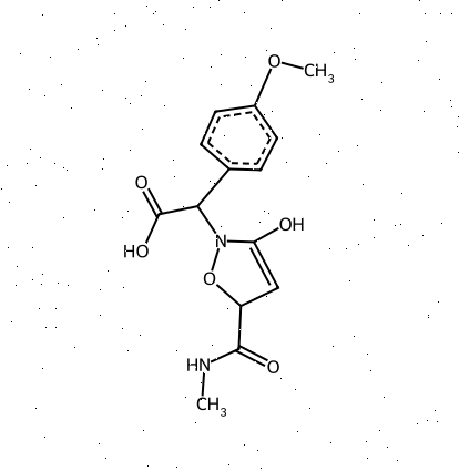 CNC(=O)C1C=C(O)N(C(C(=O)O)c2ccc(OC)cc2)O1